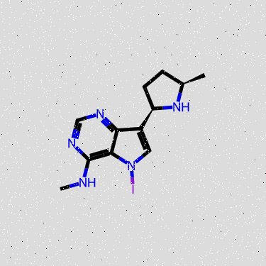 CNc1ncnc2c([C@H]3CC[C@@H](C)N3)cn(I)c12